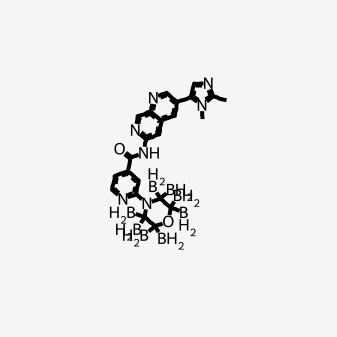 BC1(B)OC(B)(B)C(B)(B)N(c2cc(C(=O)Nc3cc4cc(-c5cnc(C)n5C)cnc4cn3)ccn2)C1(B)B